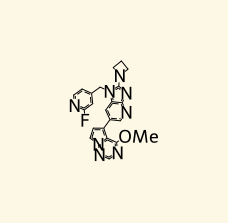 COc1ncnn2ccc(-c3cnc4nc(N5CCC5)n(Cc5ccnc(F)c5)c4c3)c12